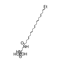 CCC=CCC=CCC=CCC=CCC=CCC=CCCC(=O)NCCNP(=O)(O)O